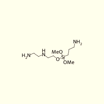 CO[Si](CCCN)(OC)OCCNCCN